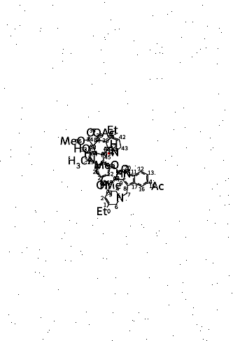 CCC1=C[C@H]2CN(C1)Cc1c([nH]c3ccc(C(C)=O)cc13)[C@@](C(=O)OC)(c1cc3c(cc1OC)N(C)[C@H]1[C@@](O)(C(=O)OC)[C@H](OC(C)=O)C4C(CC)=CCN5CC[C@]31[C@H]45)C2